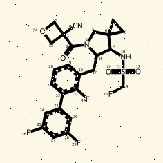 N#CC1(C(=O)N2CC3(CC3)C(NS(=O)(=O)CF)C2Cc2cccc(-c3cc(F)cc(F)c3)c2F)COC1